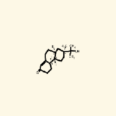 CC(C)(O)[C@@]1(C)CC[C@H]2[C@@H](CCC3=CC(=O)CC[C@@H]32)C1